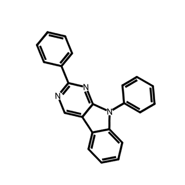 c1ccc(-c2ncc3c4ccccc4n(-c4ccccc4)c3n2)cc1